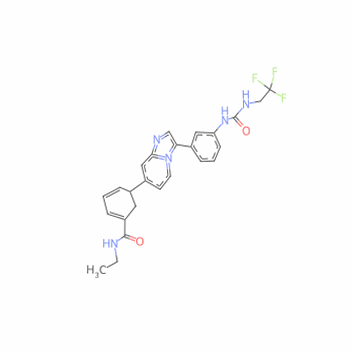 CCNC(=O)C1=CC=CC(c2ccn3c(-c4cccc(NC(=O)NCC(F)(F)F)c4)cnc3c2)C1